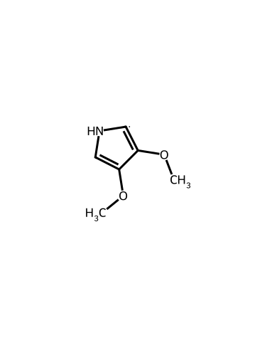 COc1[c][nH]cc1OC